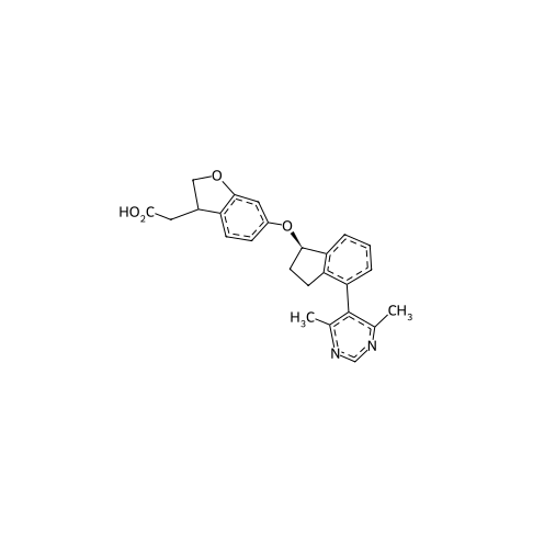 Cc1ncnc(C)c1-c1cccc2c1CC[C@H]2Oc1ccc2c(c1)OCC2CC(=O)O